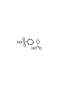 C1CCC1.O=CO.O=S(=O)(O)c1ccccc1